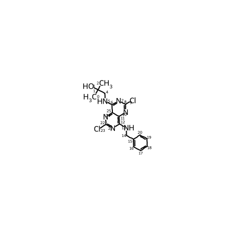 CC(C)(O)CNc1nc(Cl)nc2c(NCc3ccccc3)nc(Cl)nc12